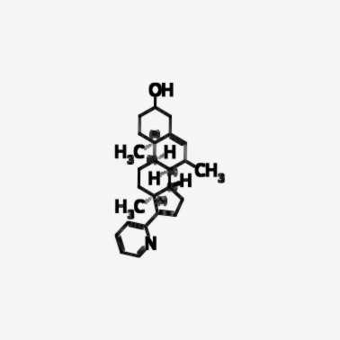 CC1C=C2CC(O)CC[C@]2(C)[C@@H]2CC[C@]3(C)C(c4ccccn4)=CC[C@H]3[C@H]12